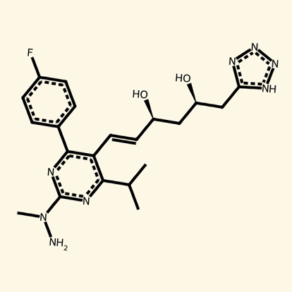 CC(C)c1nc(N(C)N)nc(-c2ccc(F)cc2)c1/C=C/[C@@H](O)C[C@@H](O)Cc1nnn[nH]1